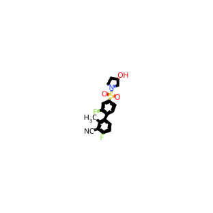 Cc1c(-c2ccc(S(=O)(=O)N3CCC(O)C3)cc2F)ccc(F)c1C#N